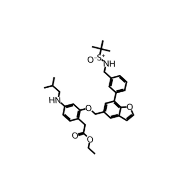 CCOC(=O)Cc1ccc(NCC(C)C)cc1OCc1cc(-c2cccc(CN[S+]([O-])C(C)(C)C)c2)c2occc2c1